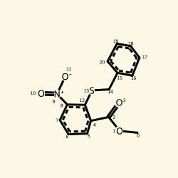 COC(=O)c1cccc([N+](=O)[O-])c1SCc1ccccc1